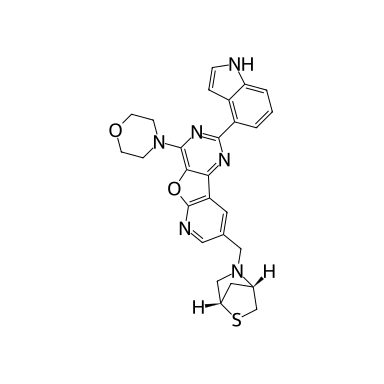 c1cc(-c2nc(N3CCOCC3)c3oc4ncc(CN5C[C@@H]6C[C@H]5CS6)cc4c3n2)c2cc[nH]c2c1